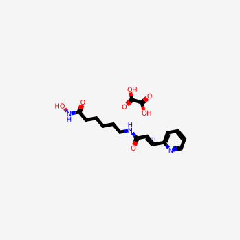 O=C(/C=C/c1ccccn1)NCCCCCC(=O)NO.O=C(O)C(=O)O